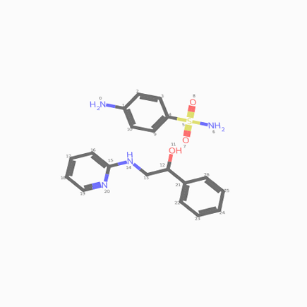 Nc1ccc(S(N)(=O)=O)cc1.OC(CNc1ccccn1)c1ccccc1